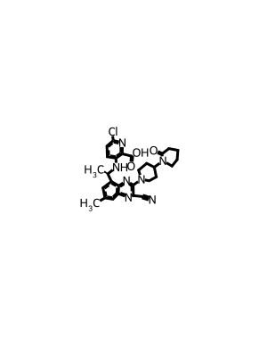 Cc1cc([C@@H](C)Nc2ccc(Cl)nc2C(=O)O)c2nc(N3CCC(N4CCCCC4=O)CC3)c(C#N)nc2c1